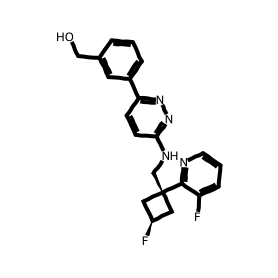 OCc1cccc(-c2ccc(NC[C@]3(c4ncccc4F)C[C@H](F)C3)nn2)c1